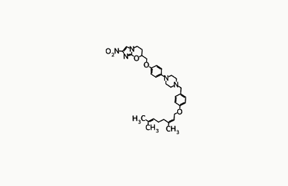 CC(C)=CCCC(C)=CCOc1ccc(CN2CCN(c3ccc(OCC4CCn5cc([N+](=O)[O-])nc5O4)cc3)CC2)cc1